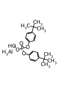 CC(C)(C)c1ccc(OP(=O)(OO)Oc2ccc(C(C)(C)C)cc2)cc1.[AlH3]